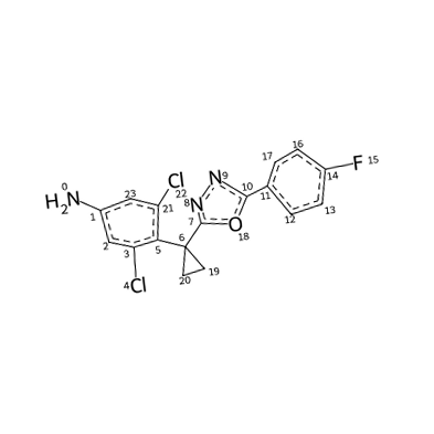 Nc1cc(Cl)c(C2(c3nnc(-c4ccc(F)cc4)o3)CC2)c(Cl)c1